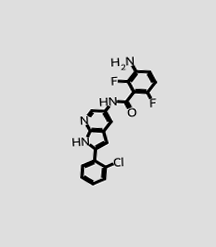 Nc1ccc(F)c(C(=O)Nc2cnc3[nH]c(-c4ccccc4Cl)cc3c2)c1F